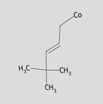 CC(C)(C)C=C[CH2][Co]